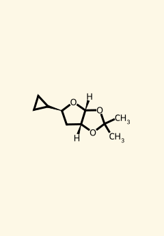 CC1(C)O[C@H]2O[C@H](C3CC3)C[C@H]2O1